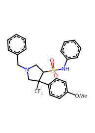 COc1ccc(C2(C(F)(F)F)CN(Cc3ccccc3)CC2S(=O)(=O)Nc2ccccc2)cc1